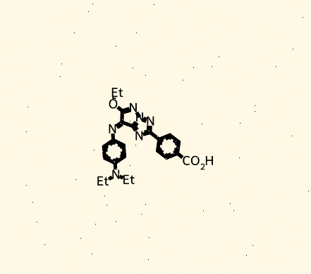 CCOC1=Nn2nc(-c3ccc(C(=O)O)cc3)nc2C1=Nc1ccc(N(CC)CC)cc1